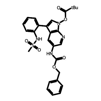 CC(C)(C)C(=O)On1cc(-c2ccccc2NS(C)(=O)=O)c2cc(NC(=O)OCc3ccccc3)cnc21